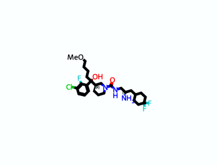 COCCCC[C@@](O)(c1cccc(Cl)c1F)[C@@H]1CCCN(C(=O)NC[C@@H](N)CC2CCC(F)(F)CC2)C1